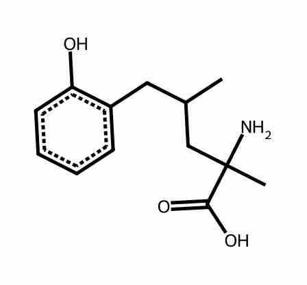 CC(Cc1ccccc1O)CC(C)(N)C(=O)O